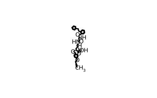 CC#CCOc1ccc([S+]([O-])C(CCCCNC(=O)CNC(=O)c2ccccc2CCc2ccccc2)C(=O)NO)cc1